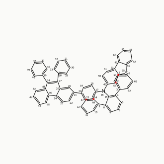 c1ccc(-c2cccc(-c3ccccc3)c2N(c2ccc(-c3ccc4c(c3)c(-c3ccccc3)c(-c3ccccc3)c3ccccc34)cc2)c2ccc3c(c2)sc2ccccc23)cc1